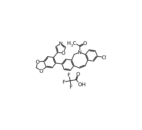 CC(=O)N1Cc2cc(-c3cc4c(cc3-c3cnco3)OCO4)ccc2/C=C\c2cc(Cl)ccc21.O=C(O)C(F)(F)F